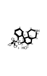 Cl.O=S(=O)(Oc1ccccc1-c1c(Cl)ccc2c1CCNCC2)C(F)(F)F